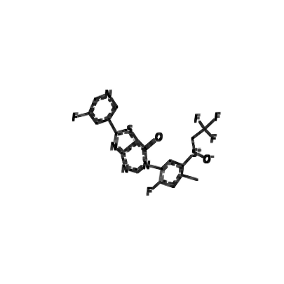 Cc1cc(F)c(-n2cnc3nc(-c4cncc(F)c4)sc3c2=O)cc1[S+]([O-])CC(F)(F)F